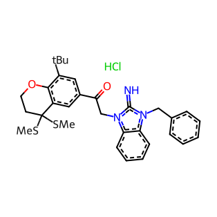 CSC1(SC)CCOc2c(C(C)(C)C)cc(C(=O)Cn3c(=N)n(Cc4ccccc4)c4ccccc43)cc21.Cl